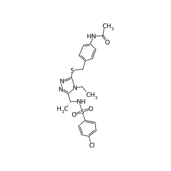 CCn1c(SCc2ccc(NC(C)=O)cc2)nnc1[C@@H](C)NS(=O)(=O)c1ccc(Cl)cc1